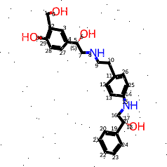 OCc1cc([C@H](O)CNCCc2ccc(NC[C@H](O)c3ccccc3)cc2)ccc1O